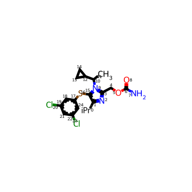 CC(C)c1nc(COC(N)=O)n(C(C)C2CC2)c1Sc1cc(Cl)cc(Cl)c1